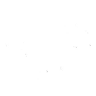 CC(C)(C)OC(=O)N1CCC(C(=O)N2CCN(c3cccc(-c4cnc5[nH]cc(C(=O)C6(C)CCCCC6)c5n4)c3)CC2)CC1